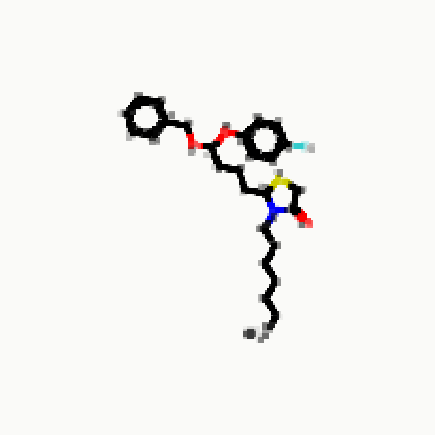 O=C(O)CCCCCCN1C(=O)CSC1CCCC(OCc1ccccc1)Oc1ccc(F)cc1